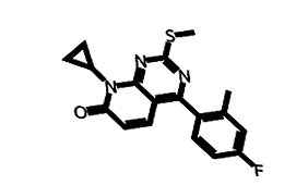 CSc1nc(-c2ccc(F)cc2C)c2ccc(=O)n(C3CC3)c2n1